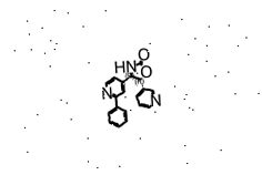 O=C1N[C@H](c2ccnc(-c3ccccc3)c2)[C@@H](c2cccnc2)O1